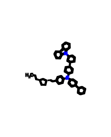 CCC[C@@H]1CC[C@@H](CCc2ccc(N(c3ccc(-c4ccccc4)cc3)c3ccc(-c4cccc(-n5c6ccccc6c6ccccc65)c4)cc3)cc2)C1